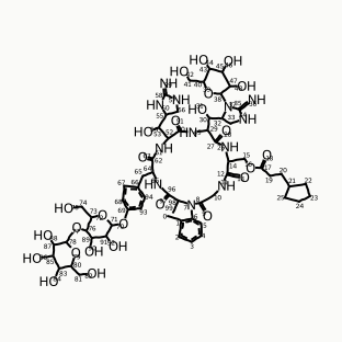 Cc1ccccc1N1C(=O)CNC(=O)C(COC(=O)CCC2CCCC2)NC(=O)C(C(O)C2CNC(=N)N2C2OC(CO)C(O)C(O)C2O)NC(=O)C(C(O)C2CNC(=N)N2)NC(=O)C(Cc2ccc(OC3OC(CO)C(OC4OC(CO)C(O)C(O)C4O)C(O)C3O)cc2)NC(=O)C1C